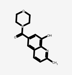 Cc1ccc2cc(C(=O)N3CCOCC3)cc(O)c2n1